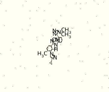 Cc1ccc(C(=NO)Nc2cccc(-c3nncn3C(C)C)n2)c(F)c1-n1cnc(C2CC2)c1